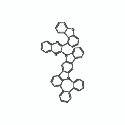 c1ccc2c(c1)-c1ccccc1-n1c3cc4c5ccccc5n(-c5nc6ccccc6nc5-c5cccc6sc7ccccc7c56)c4cc3c3cccc-2c31